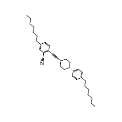 CCCCCCCc1ccc([C@H]2CC[C@H](C#Cc3ccc(CCCCCCC)cc3C#N)CC2)cc1